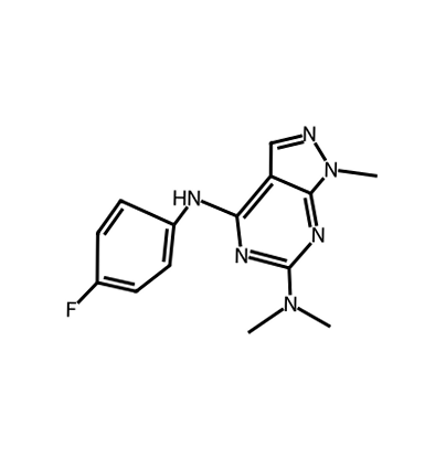 CN(C)c1nc(Nc2ccc(F)cc2)c2cnn(C)c2n1